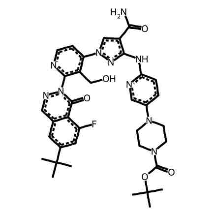 CC(C)(C)OC(=O)N1CCN(c2ccc(Nc3nn(-c4ccnc(-n5ncc6cc(C(C)(C)C)cc(F)c6c5=O)c4CO)cc3C(N)=O)nc2)CC1